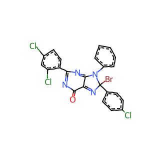 O=C1N=C(c2ccc(Cl)cc2Cl)N=C2C1=NC(Br)(c1ccc(Cl)cc1)N2c1ccccc1